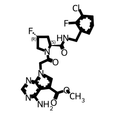 COC(=O)c1cn(CC(=O)N2C[C@H](F)C[C@H]2C(=O)NCc2cccc(Cl)c2F)c2ncnc(N)c12